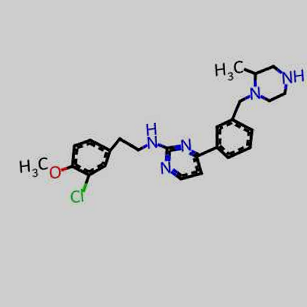 COc1ccc(CCNc2nccc(-c3cccc(CN4CCNCC4C)c3)n2)cc1Cl